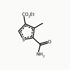 CCOC(=O)c1csc(C(N)=O)c1C